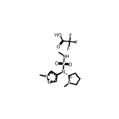 CNS(=O)(=O)N(c1cnn(C)c1)[C@@H]1CCCN1C.O=C(O)C(F)(F)F